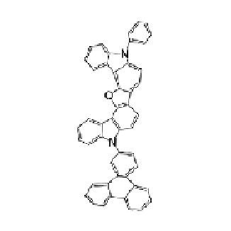 c1ccc(-n2c3ccccc3c3c4oc5c(ccc6c5c5ccccc5n6-c5ccc6c7ccccc7c7ccccc7c6c5)c4ccc32)cc1